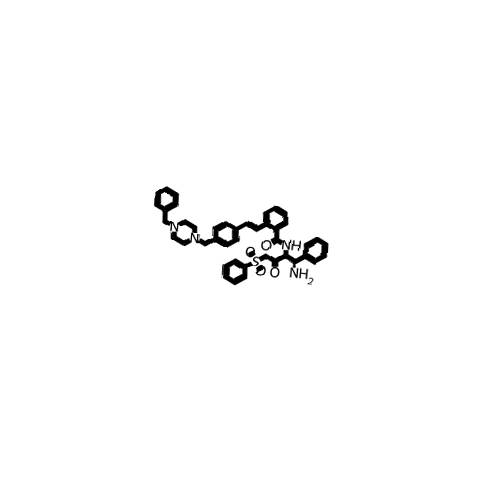 N[C@H](c1ccccc1)C(NC(=O)c1ccccc1C=Cc1ccc(CN2CCN(Cc3ccccc3)CC2)cc1)C(=O)CS(=O)(=O)c1ccccc1